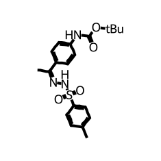 C/C(=N/NS(=O)(=O)c1ccc(C)cc1)c1ccc(NC(=O)OC(C)(C)C)cc1